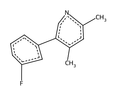 Cc1cc(C)c(-c2cccc(F)c2)cn1